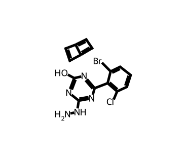 NNc1nc(O)nc(-c2c(Cl)cccc2Br)n1.c1cc2ccc1-2